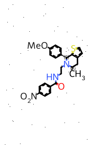 COc1ccc([C@H]2c3sccc3C[C@@H](C)N2CCNC(=O)c2ccc([N+](=O)[O-])cc2)cc1